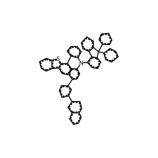 c1ccc(C2(c3ccccc3)c3ccccc3-c3c(N(c4ccc(-c5cccc(-c6ccc7ccccc7c6)c5)cc4)c4ccccc4-c4cccc5c4sc4ccccc45)cccc32)cc1